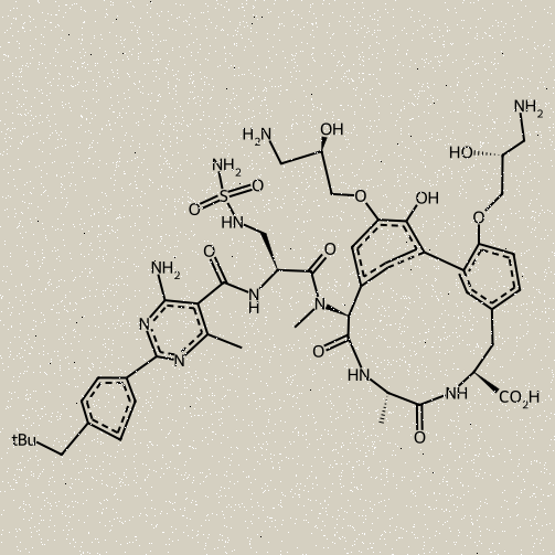 Cc1nc(-c2ccc(CC(C)(C)C)cc2)nc(N)c1C(=O)N[C@@H](CNS(N)(=O)=O)C(=O)N(C)[C@@H]1C(=O)N[C@@H](C)C(=O)N[C@H](C(=O)O)Cc2ccc(OC[C@H](O)CN)c(c2)-c2cc1cc(OC[C@H](O)CN)c2O